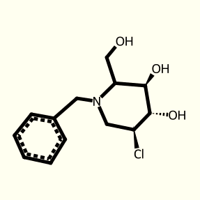 OCC1[C@@H](O)[C@H](O)[C@@H](Cl)CN1Cc1ccccc1